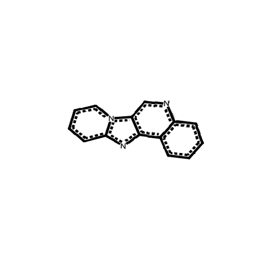 c1ccc2c(c1)ncc1c2nc2ccccn21